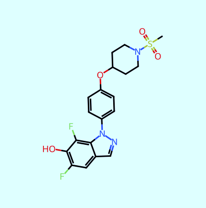 CS(=O)(=O)N1CCC(Oc2ccc(-n3ncc4cc(F)c(O)c(F)c43)cc2)CC1